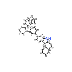 c1ccc2c(c1)-c1cc(-c3ccc4c(c3)[nH]c3ccc5ccccc5c34)ccc1C21C2CC3CC(C2)CC1C3